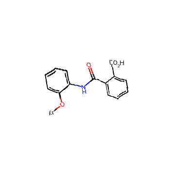 CCOc1ccccc1NC(=O)c1ccccc1C(=O)O